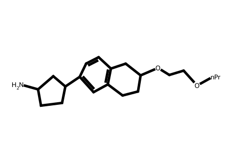 CCCOCCOC1CCc2cc(C3CCC(N)C3)ccc2C1